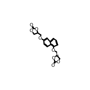 O=C1OCC(COc2ccc3c(OC[C@H]4COC(=O)O4)cccc3c2)O1